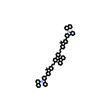 CC1(C)c2cc(/C=C/c3ccc4c(c3)C3(c5ccccc5-c5ccccc53)c3cc(/C=C/c5ccc6c(c5)C(C)(C)c5cc(-c7ccc8c(c7)c7ccccc7n8-c7cccc8ccccc78)ccc5-6)ccc3-4)ccc2-c2ccc(-c3ccc4c(c3)c3ccccc3n4-c3cccc4ccccc34)cc21